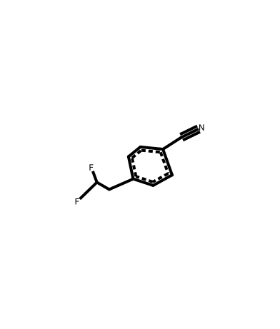 N#Cc1ccc(CC(F)F)cc1